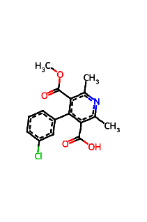 COC(=O)c1c(C)nc(C)c(C(=O)O)c1-c1cccc(Cl)c1